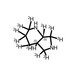 [2H]C1([2H])N[C@]2([2H])C([2H])([2H])NC([2H])([2H])[C@]2([2H])C([2H])([2H])C1([2H])[2H]